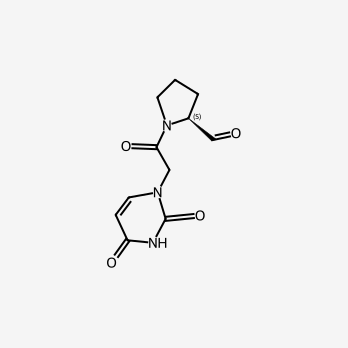 O=C[C@@H]1CCCN1C(=O)Cn1ccc(=O)[nH]c1=O